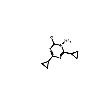 NN1C(C2CC2)=NC(C2CC2)=NC1Cl